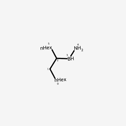 CCCCCCCC(BN)CCCCCC